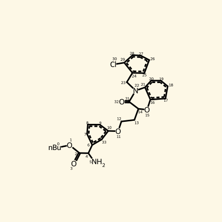 CCCCOC(=O)C(N)c1cccc(OCCC2Oc3ccccc3N(Cc3ccccc3Cl)C2=O)c1